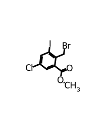 COC(=O)c1cc(Cl)cc(I)c1CBr